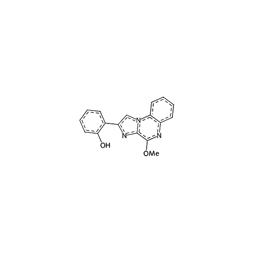 COc1nc2ccccc2n2cc(-c3ccccc3O)nc12